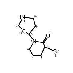 O=C1C(Br)CCCN1C1CCNCC1